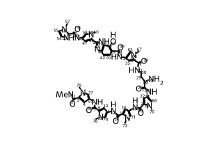 CNC(=O)c1cc(NC(=O)c2cc(NC(=O)c3cc(NC(=O)c4cc(NC(=O)[C@H](N)CCNC(=O)c5cc(NC(=O)c6ccc7nc(-c8cc(NC(=O)c9nccn9C)cn8C)[nH]c7c6O)cn5C)cn4C)cn3C)cn2C)cn1C